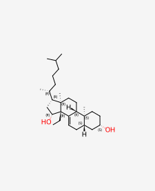 CC[C@]12C3=CC[C@H]4C[C@@H](O)CC[C@]4(C)[C@H]3CC[C@]1(C)[C@@H]([C@H](C)CCCC(C)C)C[C@H]2O